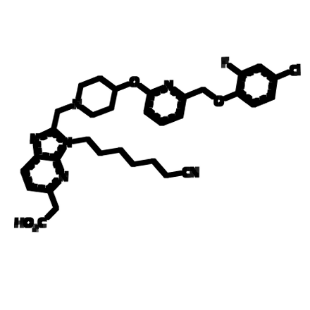 N#CCCCCCCn1c(CN2CCC(Oc3cccc(COc4ccc(Cl)cc4F)n3)CC2)nc2ccc(CC(=O)O)nc21